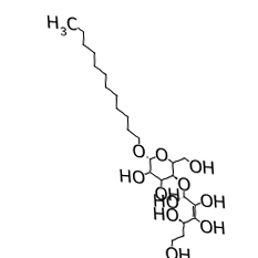 CCCCCCCCCCCCO[C@@H]1OC(CO)[C@@H](O[C@@H](O)/C(O)=C(/O)[C@H](O)CCO)C(O)C1O